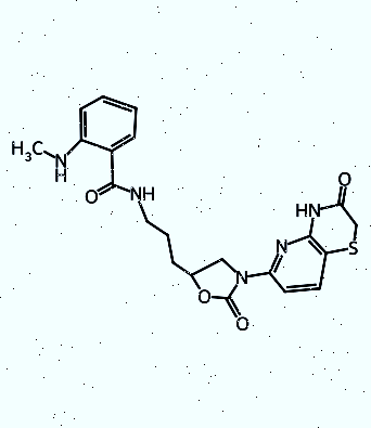 CNc1ccccc1C(=O)NCCCC1CN(c2ccc3c(n2)NC(=O)CS3)C(=O)O1